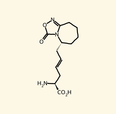 N[C@@H](CC=CC[C@H]1CCCCc2noc(=O)n21)C(=O)O